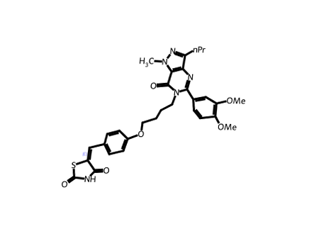 CCCc1nn(C)c2c(=O)n(CCCCOc3ccc(/C=C4/SC(=O)NC4=O)cc3)c(-c3ccc(OC)c(OC)c3)nc12